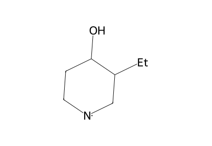 CCC1C[N]CCC1O